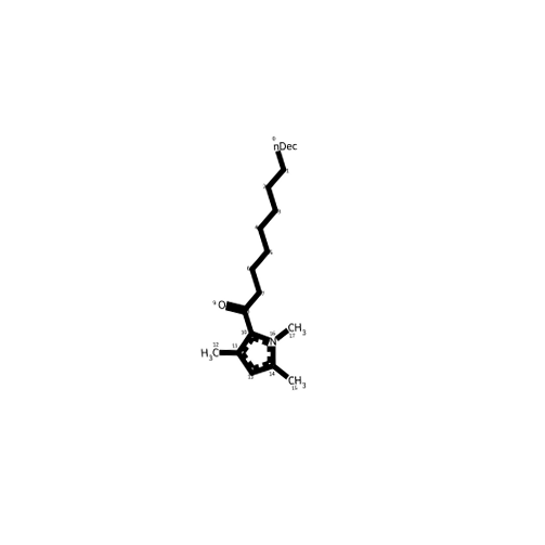 CCCCCCCCCCCCCCCCCC(=O)c1c(C)cc(C)n1C